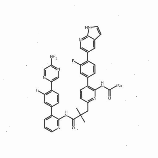 CC(C)(C)C(=O)Nc1nc(CC(C)(C)C(=O)Nc2ncccc2-c2ccc(-c3cnc(N)cn3)c(F)c2)ccc1-c1ccc(-c2cnc3[nH]ccc3c2)c(F)c1